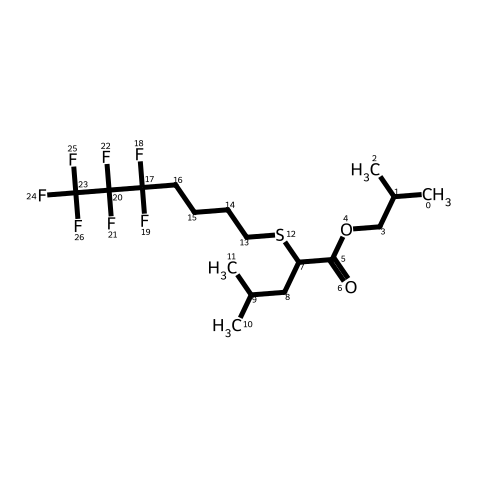 CC(C)COC(=O)C(CC(C)C)SCCCCC(F)(F)C(F)(F)C(F)(F)F